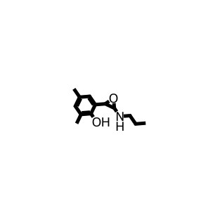 CCCNC1OC1c1cc(C)cc(C)c1O